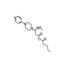 CCCCC(=O)OC(=O)CC(N)N1CCN(c2ccncc2)CC1